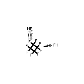 CC.F.F.F.F.F.F.FC1(F)C(F)(F)C(F)(F)C1(F)F